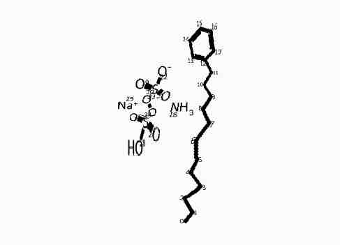 CCCCCCCCCCCCc1ccccc1.N.O=S(=O)([O-])OOS(=O)(=O)O.[Na+]